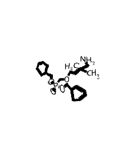 CC(C)(CN)CCOCP(=O)(OCc1ccccc1)OCc1ccccc1